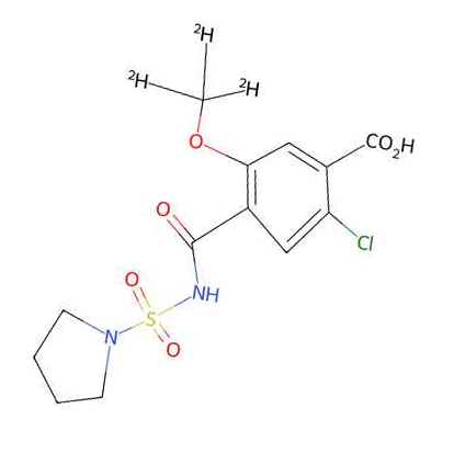 [2H]C([2H])([2H])Oc1cc(C(=O)O)c(Cl)cc1C(=O)NS(=O)(=O)N1CCCC1